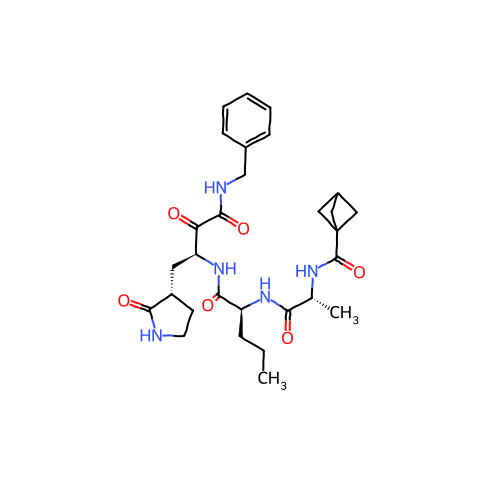 CCC[C@H](NC(=O)[C@@H](C)NC(=O)C12CC(C1)C2)C(=O)N[C@@H](C[C@@H]1CCNC1=O)C(=O)C(=O)NCc1ccccc1